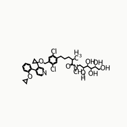 CC(CCCc1cc(Cl)c(COC2(c3cnccc3-c3ccccc3OC3CC3)CC2)cc1Cl)C(=O)N(C)C[C@H](O)[C@@H](O)[C@H](O)[C@H](O)CO